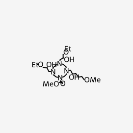 CCOCC(O)CN1CCN(CC(O)CCCCOC)CCN(C(=O)OC)CCN(CC(O)COCC)CC1